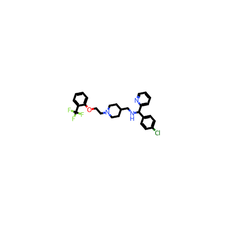 FC(F)(F)c1ccccc1OCCN1CCC(CNC(c2ccc(Cl)cc2)c2ccccn2)CC1